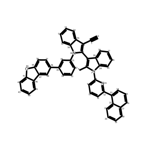 C#Cc1c(-c2c(C)n(-c3cccc(-c4cccc5ccccc45)n3)c3ccccc23)n(-c2cccc(-c3ccc4oc5ccccc5c4c3)c2)c2ccccc12